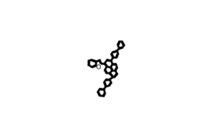 c1ccc(-c2ccc(-c3ccc4ccc5c(-c6ccc(-c7ccccc7)cc6)cc(-c6cc7ccccc7o6)c6ccc3c4c56)cc2)cc1